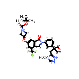 Cn1cnnc1CC1(c2cccc(N3Cc4c(cc(OC5CN(C(=O)OC(C)(C)C)C5)cc4C(F)(F)F)C3=O)c2)COC1